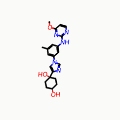 COc1ccnc(Nc2cc(C)cc(-n3cnc([C@]4(O)CC[C@@H](O)CC4)c3)c2)n1